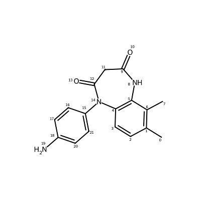 Cc1ccc2c(c1C)NC(=O)CC(=O)N2c1ccc(N)cc1